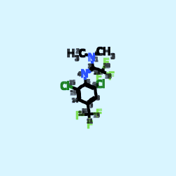 CN(C)/C(=N/c1c(Cl)cc(C(F)(F)F)cc1Cl)C(F)(F)F